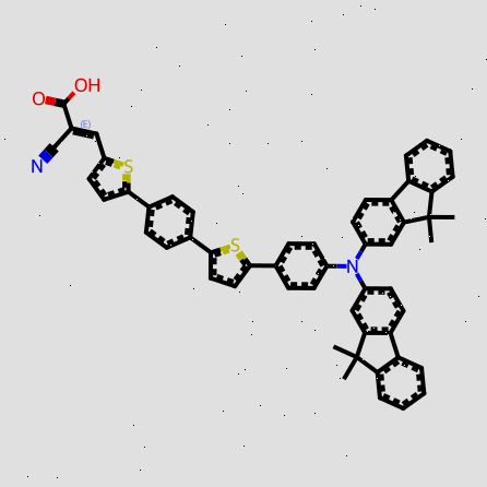 CC1(C)c2ccccc2-c2ccc(N(c3ccc(-c4ccc(-c5ccc(-c6ccc(/C=C(\C#N)C(=O)O)s6)cc5)s4)cc3)c3ccc4c(c3)C(C)(C)c3ccccc3-4)cc21